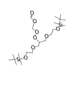 CC(C)(C)[Si](C)(C)OCCOCC(COCCO[Si](C)(C)C(C)(C)C)OOCOC=O